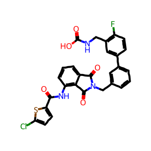 O=C(O)NCc1cc(-c2cccc(CN3C(=O)c4cccc(NC(=O)c5ccc(Cl)s5)c4C3=O)c2)ccc1F